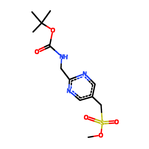 COS(=O)(=O)Cc1cnc(CNC(=O)OC(C)(C)C)nc1